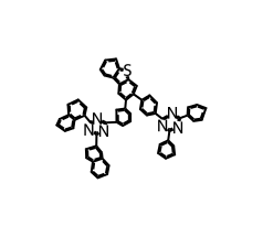 c1ccc(-c2nc(-c3ccccc3)nc(-c3ccc(-c4cc5sc6ccccc6c5cc4-c4cccc(-c5nc(-c6ccc7ccccc7c6)nc(-c6cccc7ccccc67)n5)c4)cc3)n2)cc1